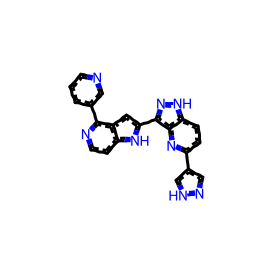 c1cncc(-c2nccc3[nH]c(-c4n[nH]c5ccc(-c6cn[nH]c6)nc45)cc23)c1